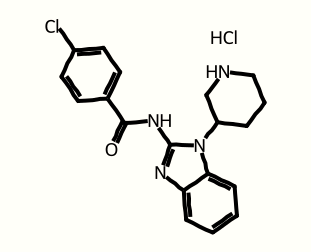 Cl.O=C(Nc1nc2ccccc2n1C1CCCNC1)c1ccc(Cl)cc1